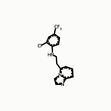 FC(F)(F)c1ccc(NCCc2cccc3nccn23)c(Cl)c1